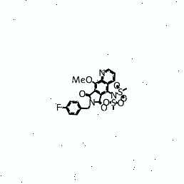 COc1c2c(c(N(S(C)(=O)=O)S(C)(=O)=O)c3cccnc13)C(=O)N(Cc1ccc(F)cc1)C2=O